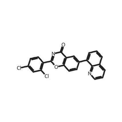 O=c1nc(-c2ccc(Cl)cc2Cl)oc2ccc(-c3cccc4cccnc34)cc12